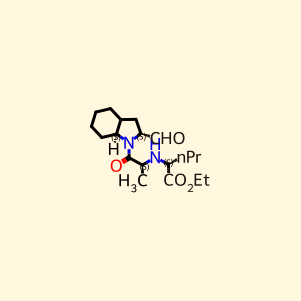 CCC[C@H](N[C@@H](C)C(=O)N1[C@H](C=O)CC2CCCC[C@@H]21)C(=O)OCC